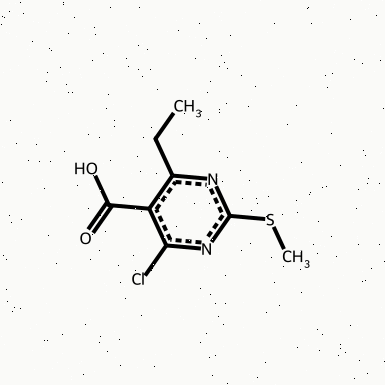 CCc1nc(SC)nc(Cl)c1C(=O)O